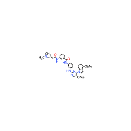 COc1cnc(Nc2cccc(NC(=O)c3cccc(NC(=O)C=CCN(C)C)c3)c2)nc1-n1ccc2c(OC)cccc21